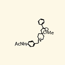 COC1(CC(=O)c2ccccc2)CCN(Cc2ccc(NC(C)=O)cc2)CC1